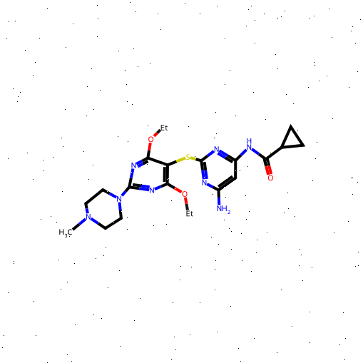 CCOc1nc(N2CCN(C)CC2)nc(OCC)c1Sc1nc(N)cc(NC(=O)C2CC2)n1